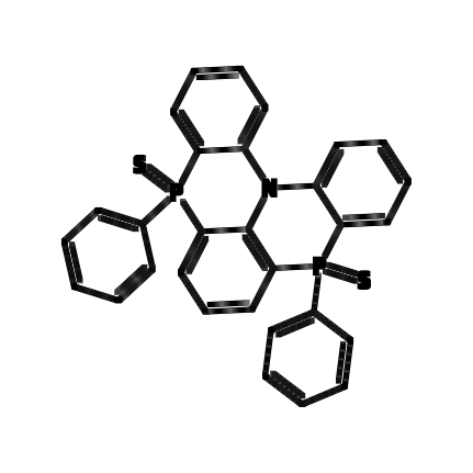 S=P1(c2ccccc2)c2ccccc2N2c3ccccc3P(=S)(c3ccccc3)c3cccc1c32